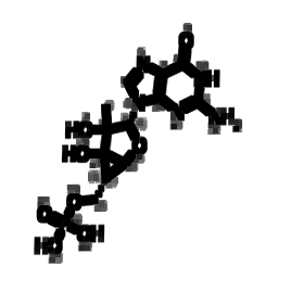 CC1(O)[C@H](n2cnc3c(=O)[nH]c(N)nc32)OC2[C@H](COP(=O)(O)O)C21O